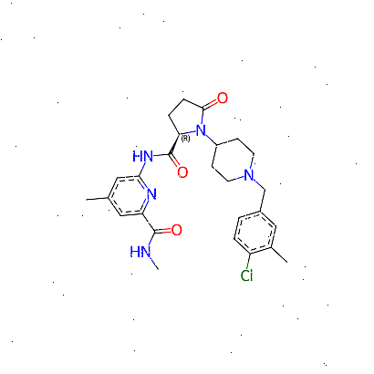 CNC(=O)c1cc(C)cc(NC(=O)[C@H]2CCC(=O)N2C2CCN(Cc3ccc(Cl)c(C)c3)CC2)n1